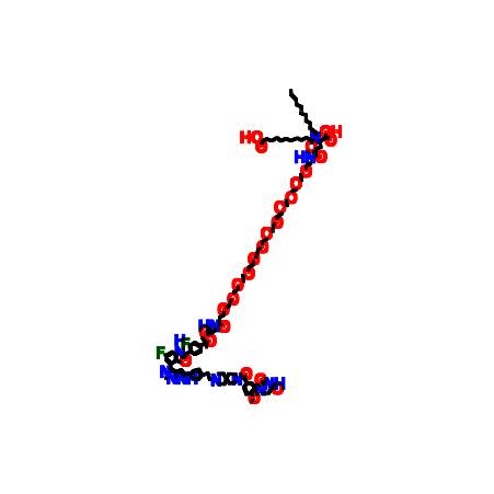 CCCCCCCCCCCN(C(=O)CCCCCCCCCC(=O)O)C(CCC(=O)NCCOCCOCCOCCOCCOCCOCCOCCOCCOCCOCCOCCOCCC(=O)NCC(=O)OC(C)(C)c1ccc(C(=O)Nc2cc(F)cc(-c3ncnc4[nH]c(-c5ccc(CCN6CCC7(CC6)CCN(C(=O)c6ccc(OC)c(N8CCC(=O)NC8=O)c6)CC7)cc5)cc34)c2C)c(F)c1)C(=O)O